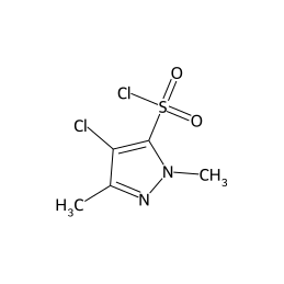 Cc1nn(C)c(S(=O)(=O)Cl)c1Cl